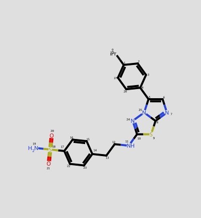 CC(C)c1ccc(-c2cnc3sc(NCCc4ccc(S(N)(=O)=O)cc4)nn23)cc1